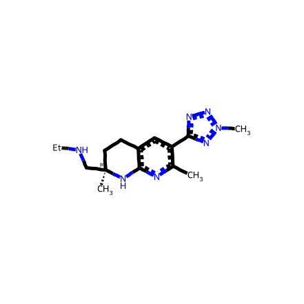 CCNC[C@@]1(C)CCc2cc(-c3nnn(C)n3)c(C)nc2N1